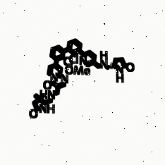 COc1nc(-c2cccc(-c3cccc(-c4ccn5c(=O)c(CNCC6NC(=O)CC6(C)C)cnc5c4)c3Cl)c2Cl)ccc1CNC[C@@H]1CCC(=O)N1